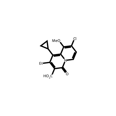 CCc1c(C(=O)O)c(=O)n2ccc(Cl)c(OC)c2c1C1CC1